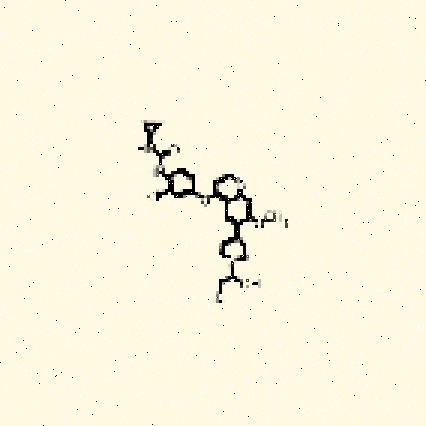 COc1cc2nccc(Oc3ccc(NC(=O)NC4CC4)c(Cl)c3)c2cc1C1=CCN(C(O)CCl)CC1